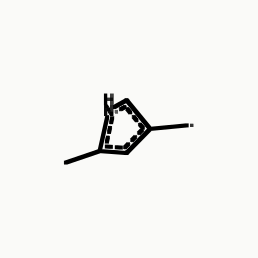 [CH2]c1c[nH]c(C)c1